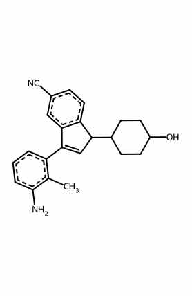 Cc1c(N)cccc1C1=CC(C2CCC(O)CC2)c2ccc(C#N)cc21